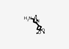 COC1(OC)CC(c2cc(N)n(C)n2)C1